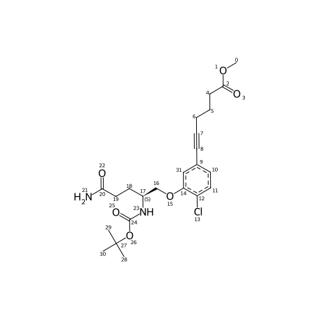 COC(=O)CCCC#Cc1ccc(Cl)c(OC[C@H](CCC(N)=O)NC(=O)OC(C)(C)C)c1